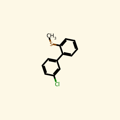 CSc1ccccc1-c1cccc(Cl)c1